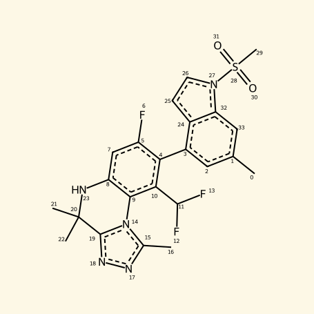 Cc1cc(-c2c(F)cc3c(c2C(F)F)-n2c(C)nnc2C(C)(C)N3)c2ccn(S(C)(=O)=O)c2c1